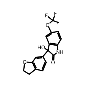 O=C1Nc2ccc(OC(F)(F)F)cc2C1(O)c1ccc2c(c1)OCC2